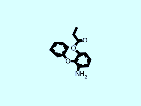 CCC(=O)Oc1cccc(N)c1Oc1ccccc1